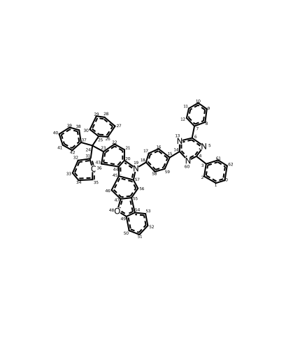 c1ccc(-c2nc(-c3ccccc3)nc(-c3ccc(-n4c5ccc(C(c6ccccc6)(c6ccccc6)c6ccccc6)cc5c5cc6oc7ccccc7c6cc54)cc3)n2)cc1